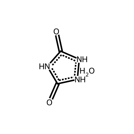 O.O=c1[nH][nH]c(=O)[nH]1